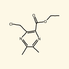 CCOC(=O)c1nc(C)c(C)nc1CCl